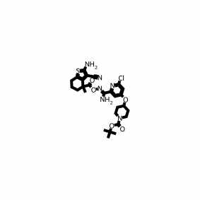 CC(C)(C)OC(=O)N1CCC(Oc2cc(Cl)nc(/C(N)=N/OC(=O)C3(C)CCCc4sc(N)c(C#N)c43)c2)CC1